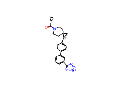 O=C(C1CC1)N1CCC2(CC1)C[C@H]2c1ccc(-c2cccc(-c3nn[nH]n3)c2)cc1